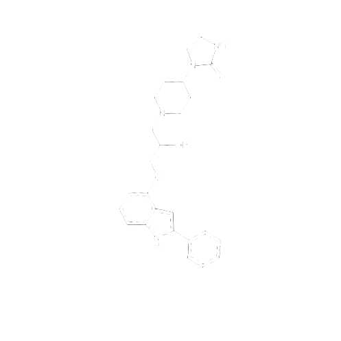 O=C1NCCN1C1CCN(CC(O)COc2cccc3[nH]c(-c4ccccc4)cc23)CC1